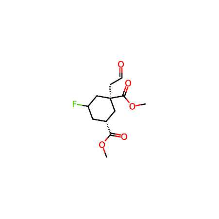 COC(=O)[C@@H]1CC(F)C[C@@](CC=O)(C(=O)OC)C1